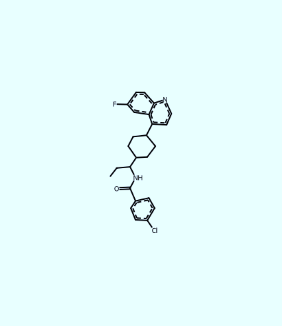 CCC(NC(=O)c1ccc(Cl)cc1)C1CCC(c2ccnc3ccc(F)cc23)CC1